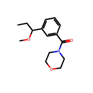 [CH2]CC(OC)c1cccc(C(=O)N2CCOCC2)c1